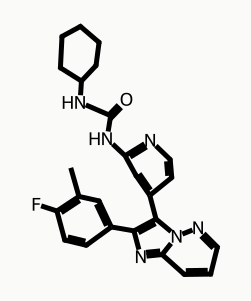 Cc1cc(-c2nc3cccnn3c2-c2ccnc(NC(=O)NC3CCCCC3)c2)ccc1F